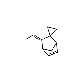 CC=C1C2C=CC(C2)C12CC2